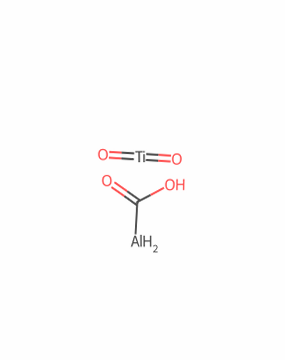 O=[C](O)[AlH2].[O]=[Ti]=[O]